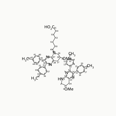 COC1CNc2nc(-c3ccc(C)cc3)c(-c3ccc(C)cc3)nc2C1.COC1Cc2nc(-c3ccc(C)cc3)c(-c3ccc(C)cc3)nc2N(CCCCCCC(=O)O)C1